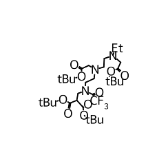 CCN(CCN(CCN(CC(C(=O)OC(C)(C)C)C(=O)OC(C)(C)C)C(=O)C(F)(F)F)CC(=O)OC(C)(C)C)CC(=O)OC(C)(C)C